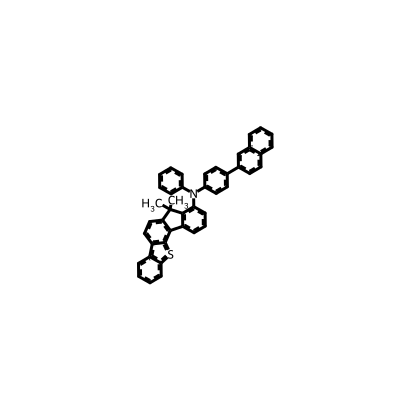 CC1(C)c2ccc3c(sc4ccccc43)c2-c2cccc(N(c3ccccc3)c3ccc(-c4ccc5ccccc5c4)cc3)c21